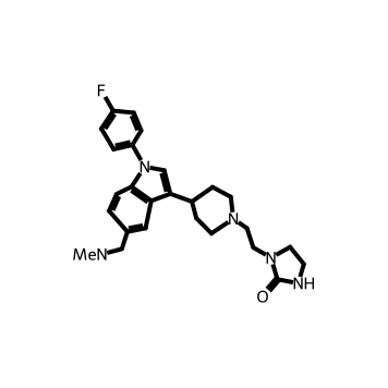 CNCc1ccc2c(c1)c(C1CCN(CCN3CCNC3=O)CC1)cn2-c1ccc(F)cc1